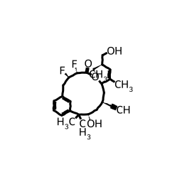 C#C[C@@H]1CC(/C(C)=C\[C@@H](CC)CO)OC(=O)[C@@H](F)[C@H](F)Cc2cccc(c2)C(C)(C)[C@@H](O)C1